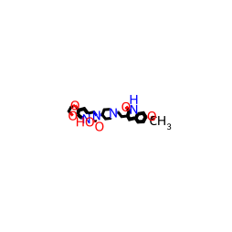 COc1ccc2cc(CCN3CCC(N(Cc4cc5c(cn4)OCCO5)C(=O)O)CC3)c(=O)[nH]c2c1